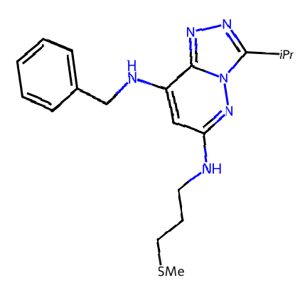 CSCCCNc1cc(NCc2ccccc2)c2nnc(C(C)C)n2n1